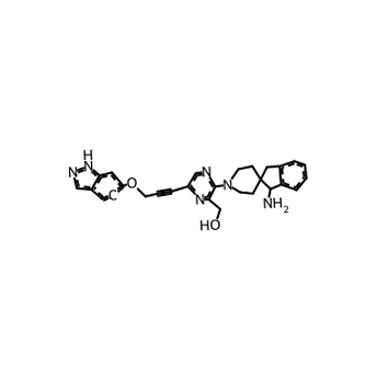 NC1c2ccccc2CC12CCN(c1ncc(C#CCOc3ccc4cn[nH]c4c3)nc1CO)CC2